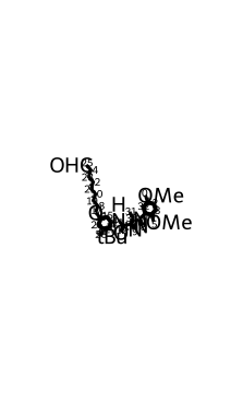 COc1ccc(OC)c(-n2nnc(C(=O)Nc3cc(OCCCCCCCC=O)cc(C(C)(C)C)c3)c2C)c1